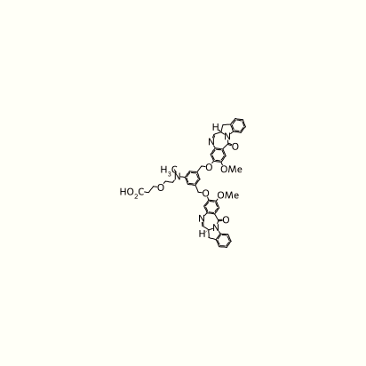 COc1cc2c(cc1OCc1cc(COc3cc4c(cc3OC)C(=O)N3c5ccccc5C[C@H]3C=N4)cc(N(C)CCOCCC(=O)O)c1)N=C[C@@H]1Cc3ccccc3N1C2=O